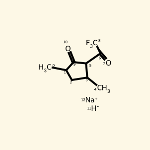 CC1CC(C)C(C(=O)C(F)(F)F)C1=O.[H-].[Na+]